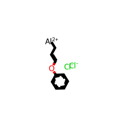 [Al+2][CH2]C=COc1ccccc1.[Cl-].[Cl-]